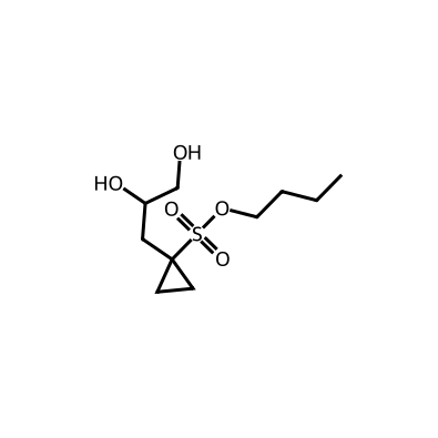 CCCCOS(=O)(=O)C1(CC(O)CO)CC1